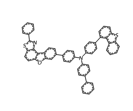 c1ccc(-c2ccc(N(c3ccc(-c4ccc5c(c4)oc4ccc6sc(-c7ccccc7)nc6c45)cc3)c3ccc(-c4cccc5sc6ccccc6c45)cc3)cc2)cc1